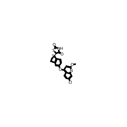 COc1cc(Oc2ccc3c(c2)CC[C@H]3C2SC(=O)NC2=O)c2ccc(Cl)cc2n1